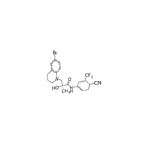 C[C@](O)(CN1CCCc2cc(Br)ccc21)C(=O)NC1=CCC(C#N)C(C(F)(F)F)=C1